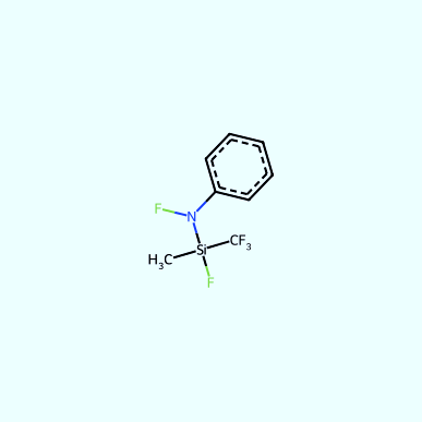 C[Si](F)(N(F)c1ccccc1)C(F)(F)F